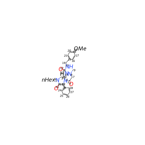 CCCCCCN1C[C@H]2N(C(=O)CN(C)N2C(=O)NCc2ccc(OC)cc2)[C@@H](c2ccccc2)C1=O